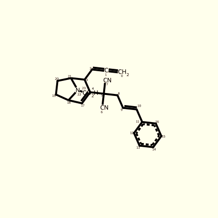 C=C=CC1C(C(C#N)(C#N)CC=Cc2ccccc2)=CC2CCC1N2C(=O)O